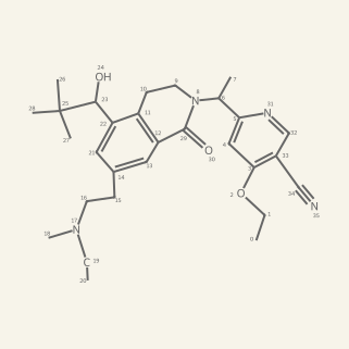 CCOc1cc(C(C)N2CCc3c(cc(CCN(C)CC)cc3C(O)C(C)(C)C)C2=O)ncc1C#N